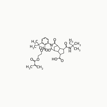 C=C(C)C(=O)OCCOC(=O)c1c(N2C(=O)C3CC(C2=O)C2C(C(=O)NC(C)(C)C)CC(C(=O)O)C32)cccc1C(C)(C)C